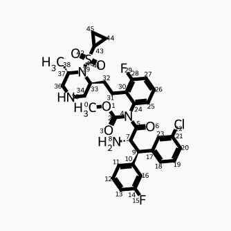 COC(=O)N(C(=O)[C@@H](N)[C@H](c1cccc(F)c1)c1cccc(Cl)c1)c1cccc(F)c1CC[C@H]1CNC[C@H](C)N1S(=O)(=O)C1CC1